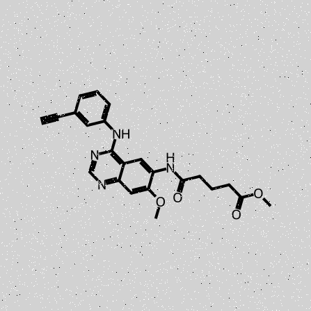 C#Cc1cccc(Nc2ncnc3cc(OC)c(NC(=O)CCCC(=O)OC)cc23)c1